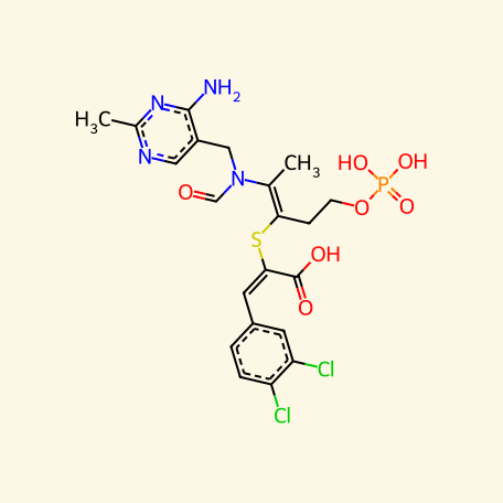 C/C(=C(\CCOP(=O)(O)O)S/C(=C/c1ccc(Cl)c(Cl)c1)C(=O)O)N(C=O)Cc1cnc(C)nc1N